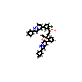 C#CC(O)(C#CC(O)c1c(F)ccc(-c2ccn3nc(-c4ccc(F)cc4)cc3c2)c1F)c1ccccc1-c1ccn2nc(-c3ccc(F)cc3)cc2c1